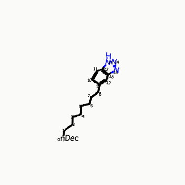 CCCCCCCCCCCCCCCCCCc1ccc2[nH]nnc2c1